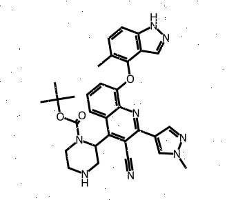 Cc1ccc2[nH]ncc2c1Oc1cccc2c(C3CNCCN3C(=O)OC(C)(C)C)c(C#N)c(-c3cnn(C)c3)nc12